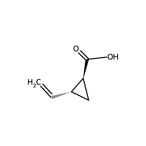 C=C[C@H]1C[C@@H]1C(=O)O